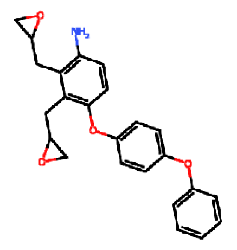 Nc1ccc(Oc2ccc(Oc3ccccc3)cc2)c(CC2CO2)c1CC1CO1